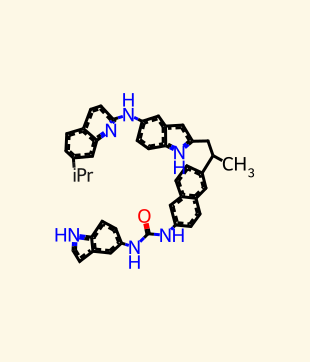 CC(C)c1ccc2ccc(Nc3ccc4[nH]c(CC(C)c5ccc6cc(NC(=O)Nc7ccc8[nH]ccc8c7)ccc6c5)cc4c3)nc2c1